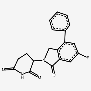 O=C1CCC(N2Cc3c(cc(F)cc3-c3ccccc3)C2=O)C(=O)N1